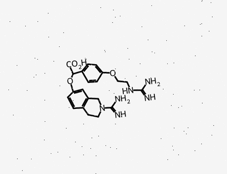 N=C(N)NCCOc1ccc(C(Oc2ccc3c(c2)CN(C(=N)N)CC3)C(=O)O)cc1